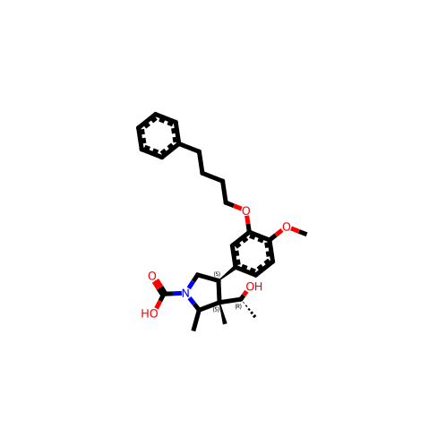 COc1ccc([C@@H]2CN(C(=O)O)C(C)[C@@]2(C)[C@@H](C)O)cc1OCCCCc1ccccc1